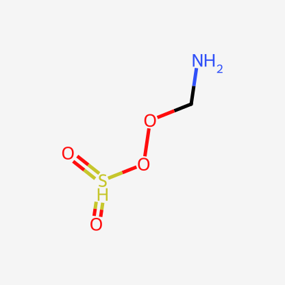 NCOO[SH](=O)=O